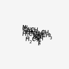 C=C(NCCF)[C@@H]1CN(C(C)(C)c2cc3cnccc3o2)CCN1C(=O)CC(C)(C)C